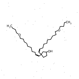 CCCCOCCCCCCCC/C=C\C1(/C=C\CCCCCCCCOCCCC)CCC(O)C1